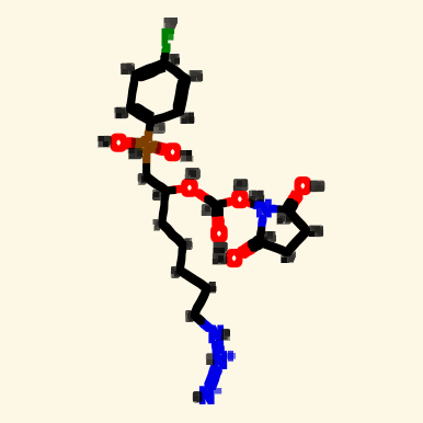 [N-]=[N+]=NCCCCCC(CS(=O)(=O)c1ccc(F)cc1)OC(=O)ON1C(=O)CCC1=O